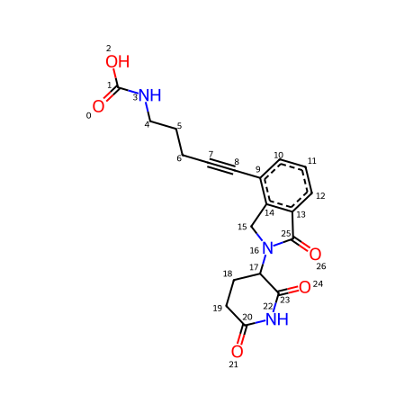 O=C(O)NCCCC#Cc1cccc2c1CN(C1CCC(=O)NC1=O)C2=O